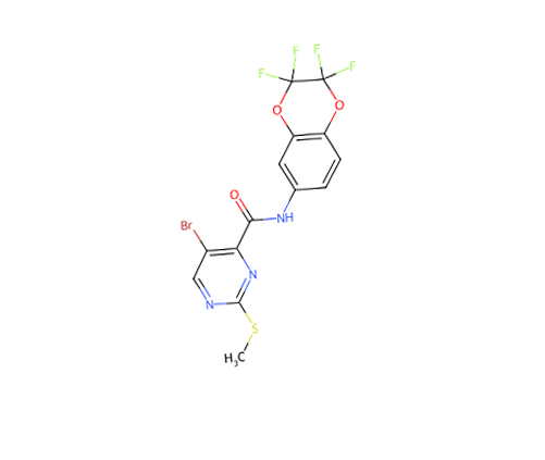 CSc1ncc(Br)c(C(=O)Nc2ccc3c(c2)OC(F)(F)C(F)(F)O3)n1